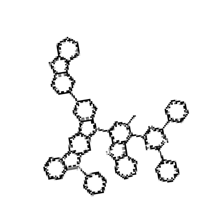 Cc1cc(-n2c3ccc(-c4ccc5sc6ccccc6c5c4)cc3c3cc4c5ccccc5n(-c5ccccc5)c4cc32)c2oc3ccccc3c2c1-c1nc(-c2ccccc2)nc(-c2ccccc2)n1